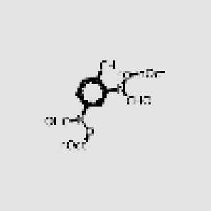 CCCCCCCCON(C=O)c1ccc(C)c(N(C=O)OCCCCCCCC)c1